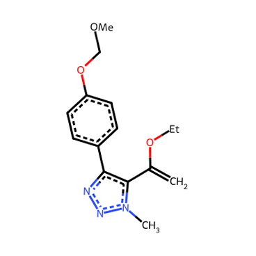 C=C(OCC)c1c(-c2ccc(OCOC)cc2)nnn1C